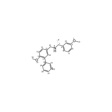 COc1cccc([C@@H](C)NCc2ccc(OC)c(-c3cccnc3)c2)c1